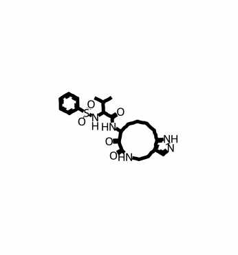 CC(C)C(NS(=O)(=O)c1ccccc1)C(=O)NC1CCCCc2[nH]ncc2CCNC(=O)C1=O